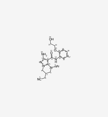 CCCN1CC(CC#N)Cn2nc(N)c(C(=O)Nc3cnccc3OCCO)c21